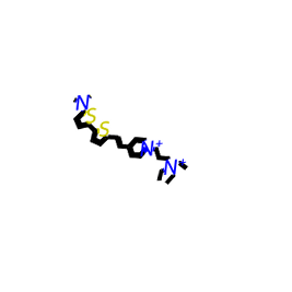 CC[N+](CC)(CC)CCC[n+]1ccc(/C=C/c2ccc(-c3ccc(N(C)C)s3)s2)cc1